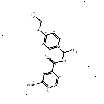 CC(=O)Nc1cc(C(=O)NC(C)c2ccc(OCC(F)(F)F)cc2)ccn1